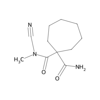 CN(C#N)C(=O)C1(C(N)=O)CCCCCC1